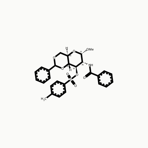 CO[C@H]1O[C@@H]2COC(c3ccccc3)O[C@H]2[C@H](OS(=O)(=O)c2ccc(C)cc2)[C@H]1NC(=O)c1ccccc1